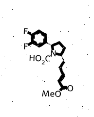 COC(=O)/C=C/CC[C@H]1CC[C@@H](c2ccc(F)c(F)c2)N1C(=O)O